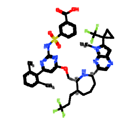 Cc1cccc(C)c1-c1cc(OC[C@@H]2N[C@H](c3cnc4cc(C5(C(F)(F)F)CC5)n(C)c4n3)CCC[C@H]2CCC(F)(F)F)nc(NS(=O)(=O)c2cccc(C(=O)O)c2)n1